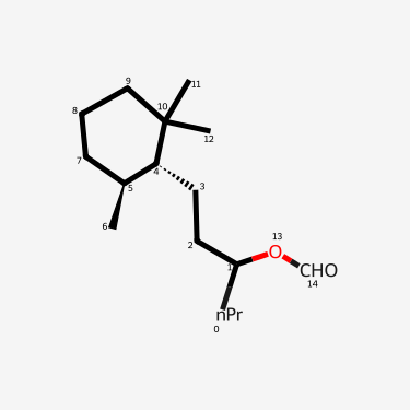 CCCC(CC[C@@H]1[C@@H](C)CCCC1(C)C)OC=O